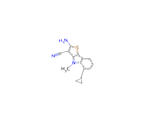 Cn1c2c(C3CC3)cccc2c2sc(N)c(C#N)c21